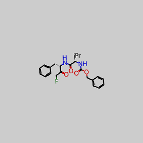 CC(C)[C@H](NC(=O)OCc1ccccc1)C(=O)N[C@@H](Cc1ccccc1)C(=O)CF